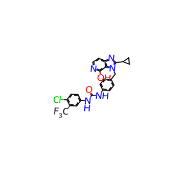 O=C(Nc1ccc(Cn2c(C3CC3)nc3ccnc(O)c32)cc1)Nc1ccc(Cl)c(C(F)(F)F)c1